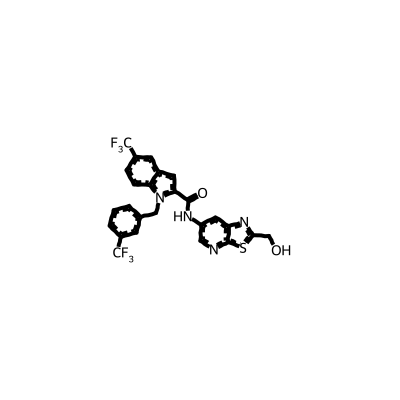 O=C(Nc1cnc2sc(CO)nc2c1)c1cc2cc(C(F)(F)F)ccc2n1Cc1cccc(C(F)(F)F)c1